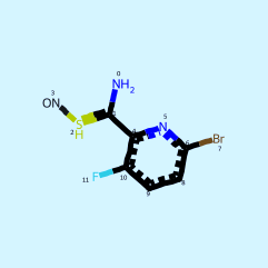 NC(=[SH]N=O)c1nc(Br)ccc1F